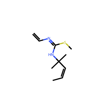 C=C/N=C(\NC(C)(C)/C=C\C)SC